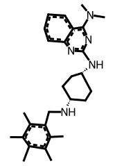 Cc1c(C)c(C)c(CN[C@H]2CC[C@@H](Nc3nc(N(C)C)c4ccccc4n3)CC2)c(C)c1C